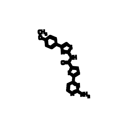 COc1ccc(-c2csc(NC(=O)c3ccc(-c4ccnc(N)n4)s3)n2)cc1